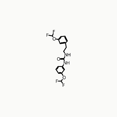 O=C(NCCc1cccc(OC(F)F)c1)Nc1cccc(OC(F)F)c1